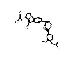 COc1cc(-c2nc(-c3ccc4c(c3)c(Cl)c3n4CC[C@H]3CC(=O)O)no2)ccc1OC(C)C